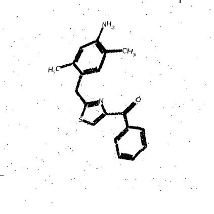 Cc1cc(Cc2nc(C(=O)c3ccccc3)cs2)c(C)cc1N